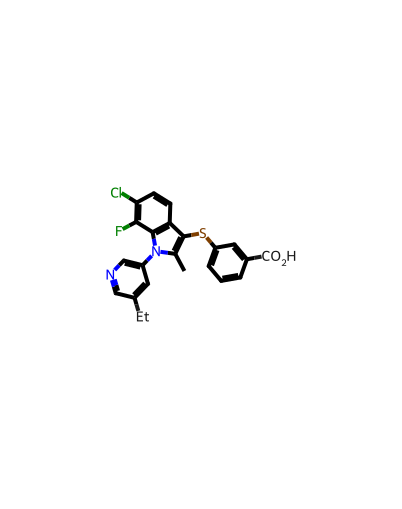 CCc1cncc(-n2c(C)c(Sc3cccc(C(=O)O)c3)c3ccc(Cl)c(F)c32)c1